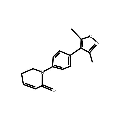 Cc1noc(C)c1-c1ccc(N2CCC=CC2=O)cc1